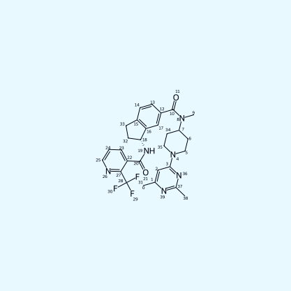 Cc1cc(N2CCC(N(C)C(=O)c3ccc4c(c3)[C@H](NC(=O)c3cccnc3C(F)(F)F)CC4)CC2)nc(C)n1